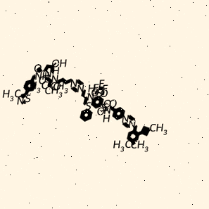 Cc1ncsc1-c1ccc(CNC(=O)[C@@H]2C[C@@H](O)CN2C(=O)[C@@H](NC(=O)CCCN2CCN(CC[C@H](CSc3ccccc3)Nc3ccc(S(=O)(=O)NC(=O)c4ccc(N5CCN(CC6=C(C78CC(C)(C7)C8)CC(C)(C)CC6)CC5)cc4)cc3S(=O)(=O)C(F)(F)F)CC2)C(C)(C)C)cc1